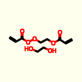 C=CC(=O)OCCOOC(=O)C=C.OCCO